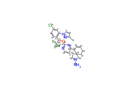 Cc1ccn(-c2cc(Cl)ccc2[C@@H](Oc2nccc(C3C=CCCC34CCN(N)C4)n2)C(F)(F)F)n1